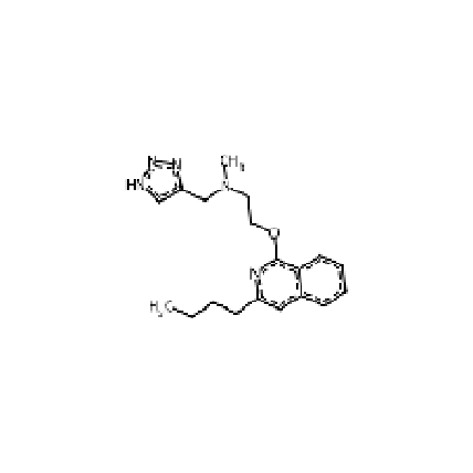 CCCCc1cc2ccccc2c(OCCN(C)Cc2c[nH]nn2)n1